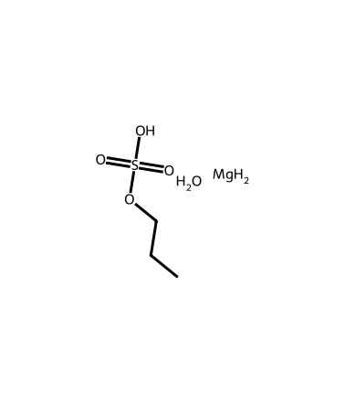 CCCOS(=O)(=O)O.O.[MgH2]